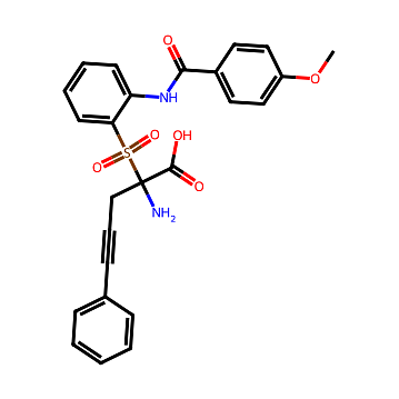 COc1ccc(C(=O)Nc2ccccc2S(=O)(=O)C(N)(CC#Cc2ccccc2)C(=O)O)cc1